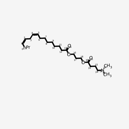 CCC/C=C\C/C=C\CCCCCCCC(=O)OCCCOC(=O)CCCN(C)C